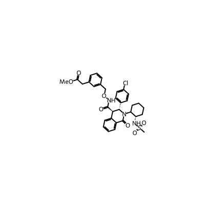 COC(=O)Cc1cccc(CONC(=O)[C@@H]2c3ccccc3C(=O)N(C3CCCC[C@@H]3NS(C)(=O)=O)[C@H]2c2ccc(Cl)cc2)c1